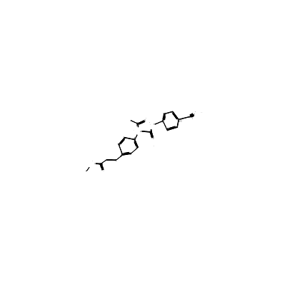 COC(=O)CCc1ccc(-n2c(C)nn(-c3ccc(C#N)cc3)c2=O)cc1